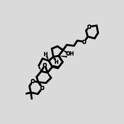 CC1(C)COC2(CC[C@]34O[C@]3(CC[C@@H]3C4=CC[C@@]4(C)[C@H]3CC[C@@]4(O)CCCOC3CCCOC3)C2)OC1